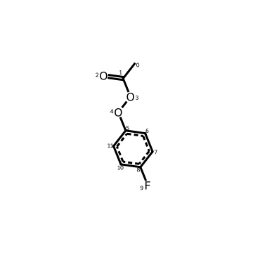 CC(=O)OOc1ccc(F)cc1